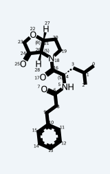 CC(C)C[C@H](NC(=O)CCc1ccccc1)C(=O)N1CC[C@H]2OCC(=O)[C@H]21